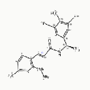 CCCCNc1cc(C(F)(F)F)ccc1/C=C/C(=O)N[C@H](C)c1cc(F)c(C)c(F)c1